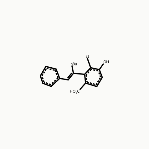 CCCCC(=Cc1ccccc1)c1c(C(=O)O)ccc(O)c1CC